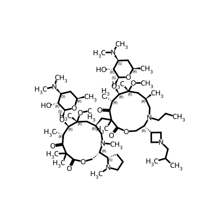 CCCN1C[C@H](C)C[C@@](C)(OC)[C@H](O[C@@H]2O[C@H](C)C[C@H](N(C)C)[C@H]2O)[C@@H](C)C(=O)C(C)(C[C@H]2CN(C)[C@H]([C@@H]3CCCN3C)COC(=O)C(C)(C)C(=O)[C@H](C)[C@@H](O[C@@H]3O[C@H](C)C[C@H](N(C)C)[C@H]3O)[C@](C)(OC)C2)C(=O)OC[C@H]1C1CN(CC(C)C)C1